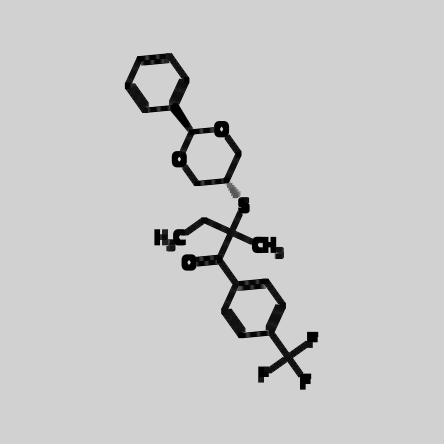 CCC(C)(S[C@H]1CO[C@H](c2ccccc2)OC1)C(=O)c1ccc(C(F)(F)F)cc1